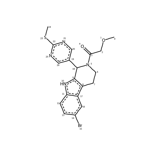 COCC(=O)N1CCc2c([nH]c3ccc(Br)cc23)C1c1cnc(SC)nc1